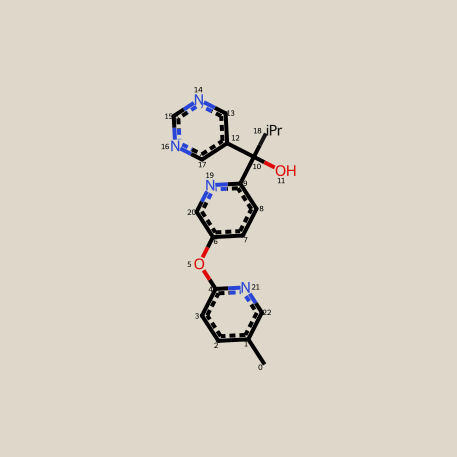 Cc1ccc(Oc2ccc(C(O)(c3cncnc3)C(C)C)nc2)nc1